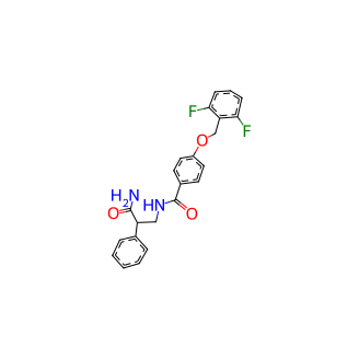 NC(=O)C(CNC(=O)c1ccc(OCc2c(F)cccc2F)cc1)c1ccccc1